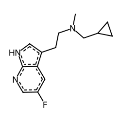 CN(CCc1c[nH]c2ncc(F)cc12)CC1CC1